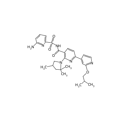 CC(C)COc1cc(-c2ccc(C(=O)NS(=O)(=O)c3cccc(N)n3)c(N3CC(C)CC3(C)C)n2)ccn1